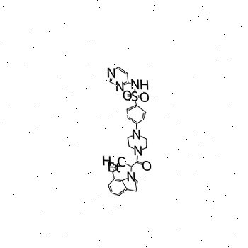 CCc1cccc2ccn(C(C)C(=O)N3CCN(c4ccc(S(=O)(=O)Nc5ccncn5)cc4)CC3)c12